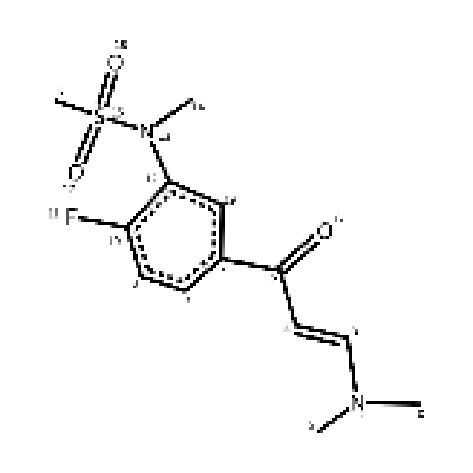 CN(C)C=CC(=O)c1ccc(F)c(N(C)S(C)(=O)=O)c1